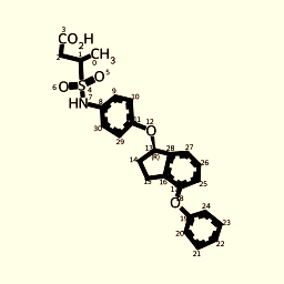 CC(CC(=O)O)S(=O)(=O)Nc1ccc(O[C@@H]2CCc3c(Oc4ccccc4)cccc32)cc1